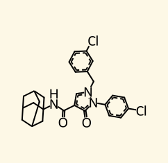 O=C(NC12CC3CC(CC(C3)C1)C2)c1cn(Cc2cccc(Cl)c2)n(-c2ccc(Cl)cc2)c1=O